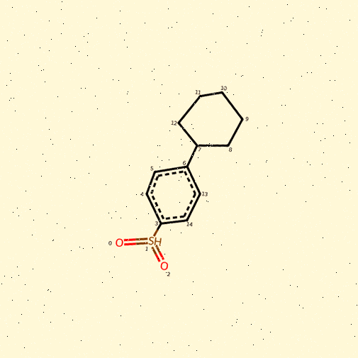 O=[SH](=O)c1ccc(C2CCCCC2)cc1